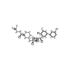 Cc1cc(-c2cccc(F)c2)cc(C(=O)NNS(=O)(=O)CC2CCCN(C(=O)CCN(C)C)C2)c1F